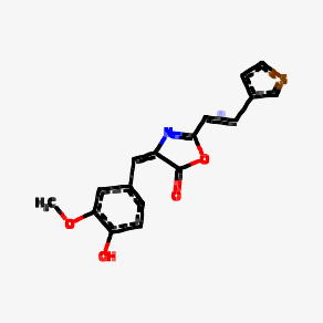 COc1cc(C=C2N=C(/C=C/c3ccsc3)OC2=O)ccc1O